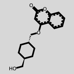 O=c1cc(OC[C@H]2CC[C@H](CO)CC2)c2ccccc2o1